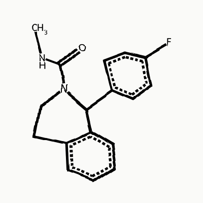 CNC(=O)N1CCc2ccccc2C1c1ccc(F)cc1